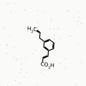 C=CCc1cccc(C=CC(=O)O)c1